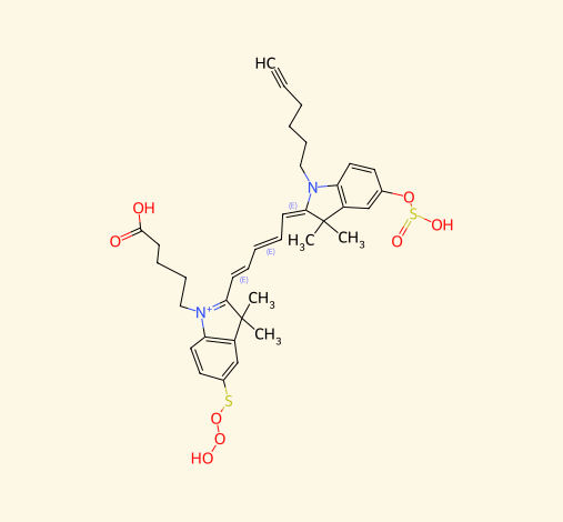 C#CCCCCN1/C(=C/C=C/C=C/C2=[N+](CCCCC(=O)O)c3ccc(SOOO)cc3C2(C)C)C(C)(C)c2cc(OS(=O)O)ccc21